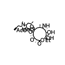 C#CCCN(C)[C@H]1C[C@@H](C)O[C@@H](O[C@@H]2[C@@H](C)C(=O)[C@@H](C)C(=O)O[C@H](CC)[C@@](C)(O)[C@H](O)[C@@H](C)C(=N)[C@H](C)C[C@@]2(C)OC)[C@@H]1OC(C)=O